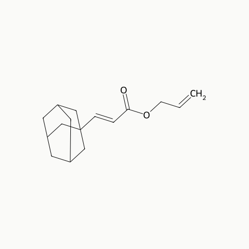 C=CCOC(=O)C=CC12CC3CC(CC(C3)C1)C2